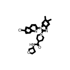 Cc1cc2nc(N3CCC(C(=O)NC4CCOC4)CC3)n(-c3ccc4cc(Cl)ccc4n3)c2cc1C